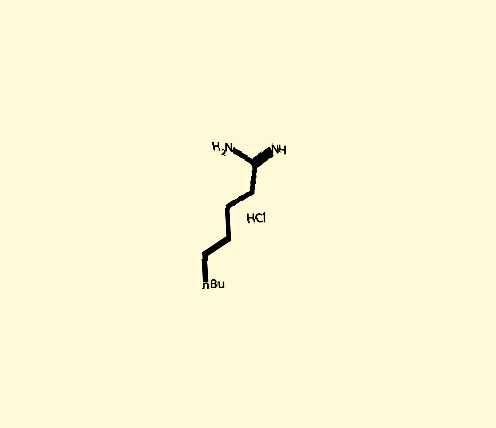 CCCCCCCCC(=N)N.Cl